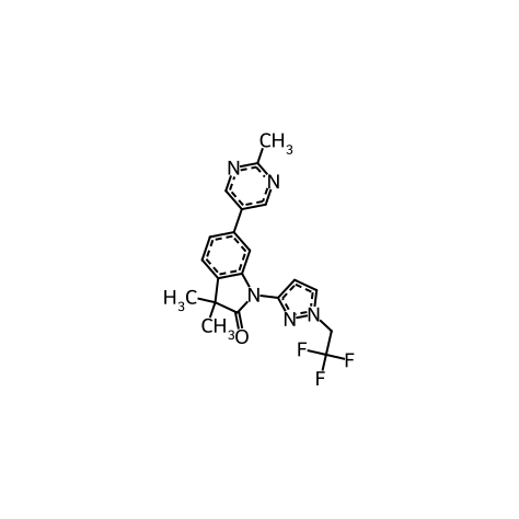 Cc1ncc(-c2ccc3c(c2)N(c2ccn(CC(F)(F)F)n2)C(=O)C3(C)C)cn1